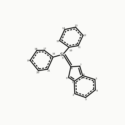 [C]1=c2ccccc2=CC1=[Si](c1ccccc1)c1ccccc1